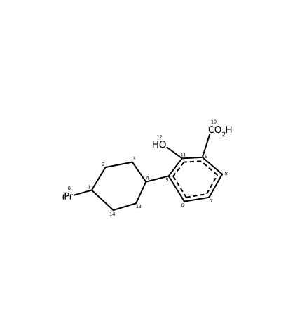 CC(C)C1CCC(c2cccc(C(=O)O)c2O)CC1